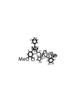 COc1ccc(-c2nc(-c3ccncc3)nn2CCN(C(=O)COc2ccccc2[N+](=O)O)C2CCCC2)cc1Cl